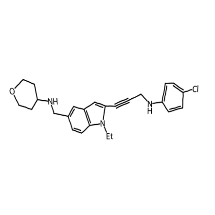 CCn1c(C#CCNc2ccc(Cl)cc2)cc2cc(CNC3CCOCC3)ccc21